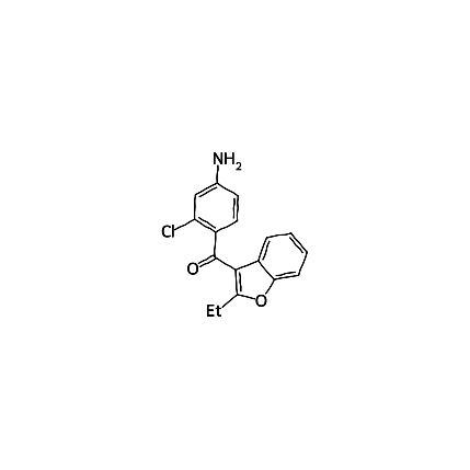 CCc1oc2ccccc2c1C(=O)c1ccc(N)cc1Cl